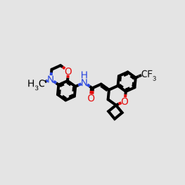 CN1CCOc2c(NC(=O)C=C3CC4(CCC4)Oc4cc(C(F)(F)F)ccc43)cccc21